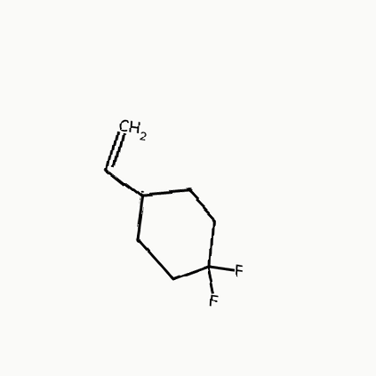 C=C[C]1CCC(F)(F)CC1